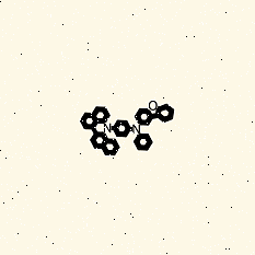 c1ccc(N(c2ccc(N3c4c(ccc5ccccc45)-c4cccc5cccc3c45)cc2)c2ccc3oc4ccccc4c3c2)cc1